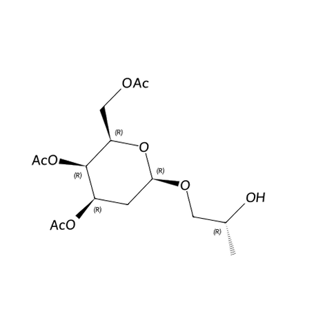 CC(=O)OC[C@H]1O[C@@H](OC[C@@H](C)O)C[C@@H](OC(C)=O)[C@H]1OC(C)=O